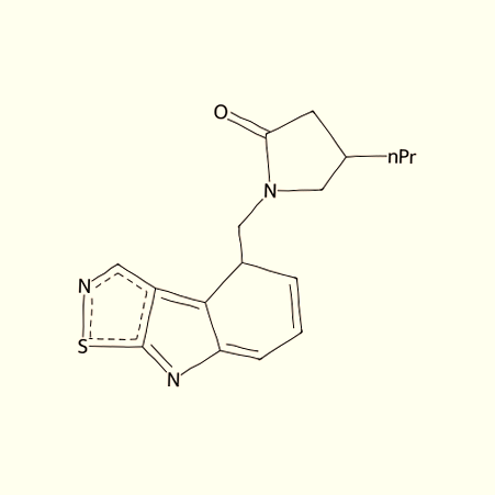 CCCC1CC(=O)N(CC2C=CC=C3N=c4sncc4=C32)C1